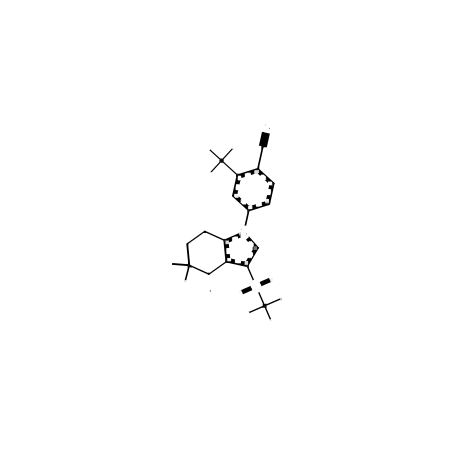 N#Cc1ccc(-n2cc(S(=O)(=O)C(F)(F)F)c3c2CCC(F)(F)[C@H]3O)cc1C(F)(F)F